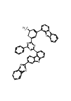 CC1C=C(c2cccc3c2sc2ccccc23)C=C(c2nc(-c3ccccc3)nc(-c3cccc4oc5cc(-c6nc7ccccc7o6)ccc5c34)n2)C1